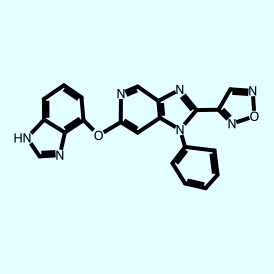 c1ccc(-n2c(-c3cnon3)nc3cnc(Oc4cccc5[nH]cnc45)cc32)cc1